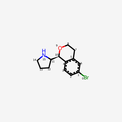 Brc1ccc2c(c1)CCO[C@@H]2C1CCCN1